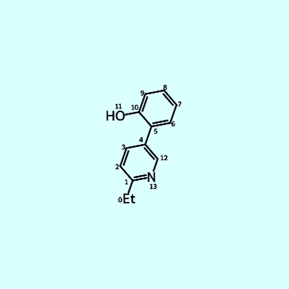 CCc1ccc(-c2ccccc2O)cn1